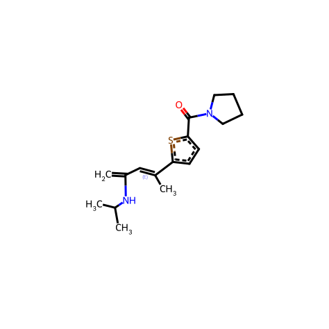 C=C(/C=C(\C)c1ccc(C(=O)N2CCCC2)s1)NC(C)C